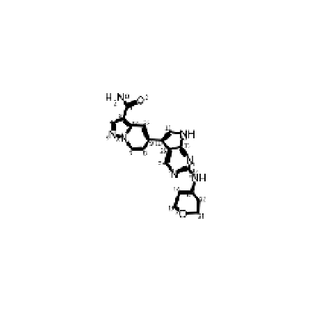 NC(=O)c1cnn2ccc(-c3c[nH]c4nc(NC5CCOCC5)ncc34)cc12